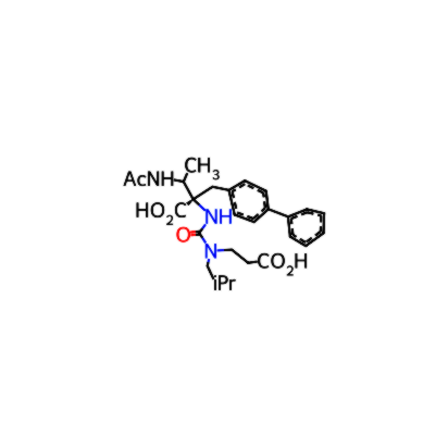 CC(=O)NC(C)[C@](Cc1ccc(-c2ccccc2)cc1)(NC(=O)N(CCC(=O)O)CC(C)C)C(=O)O